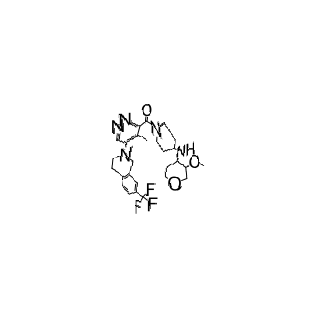 CO[C@H]1COCC[C@H]1NC1CCN(C(=O)c2nncc(N3CCc4ccc(C(F)(F)F)cc4C3)c2C)CC1